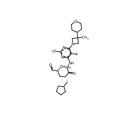 CC1(N2CCOCC2)CN(c2nc(Cl)nc(NNC(=O)[C@H](CC3CCCC3)CN(O)C=O)c2F)C1